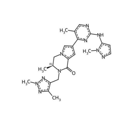 Cc1cnc(Nc2ccnn2C)nc1-c1cc2n(c1)C[C@H](C)N(Cc1nn(C)nc1C)C2=O